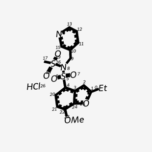 CCc1cc2c(S(=O)(=O)N(Cc3cccnc3)S(C)(=O)=O)ccc(OC)c2o1.Cl